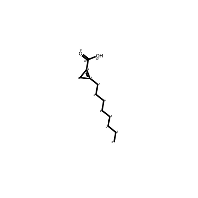 CCCCCCCCC1=C(C(=O)O)C1